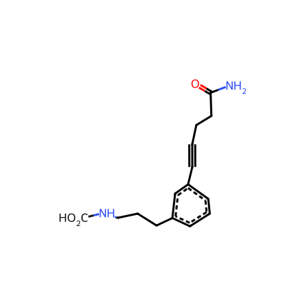 NC(=O)CCC#Cc1cccc(CCCNC(=O)O)c1